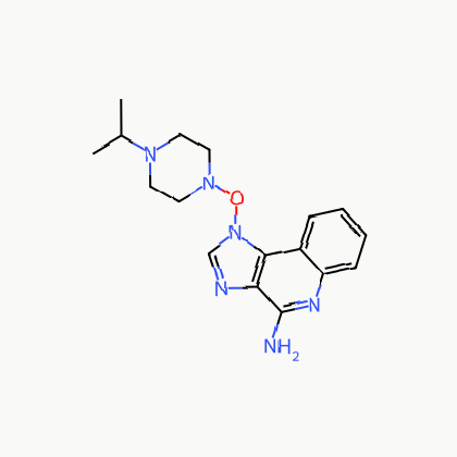 CC(C)N1CCN(On2cnc3c(N)nc4ccccc4c32)CC1